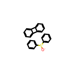 [O-][S+](c1ccccc1)c1ccccc1.c1ccc2c(c1)-c1ccccc1-2